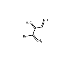 C=C(Br)C(=C)C=N